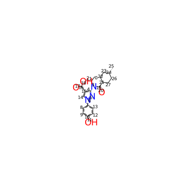 CC(C)N(c1nn(-c2ccc(O)cc2)cc1C(=O)O)C(=O)[C@H]1CC[C@H](C)CC1